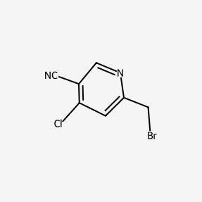 N#Cc1cnc(CBr)cc1Cl